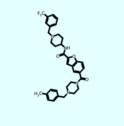 Cc1ccc(CN2CCN(C(=O)c3ccc4oc(C(=O)NC5CCN(Cc6cccc(C(F)(F)F)c6)CC5)cc4c3)CC2)cc1